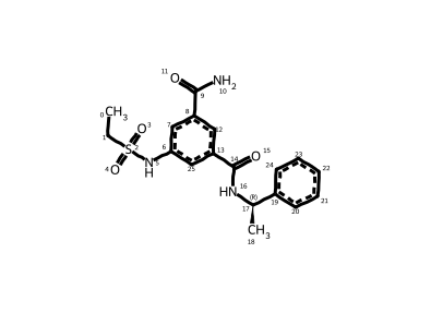 CCS(=O)(=O)Nc1cc(C(N)=O)cc(C(=O)N[C@H](C)c2ccccc2)c1